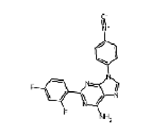 [C-]#[N+]c1ccc(-n2cnc3c(N)nc(-c4ccc(F)cc4F)nc32)cc1